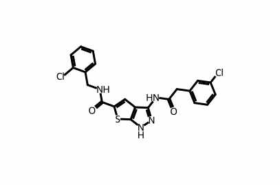 O=C(Cc1cccc(Cl)c1)Nc1n[nH]c2sc(C(=O)NCc3ccccc3Cl)cc12